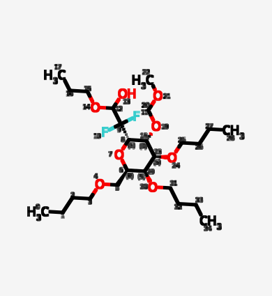 CCCCOC[C@H]1O[C@H](C(F)(F)C(O)OCCC)[C@H](OCOC)[C@@H](OCCCC)[C@H]1OCCCC